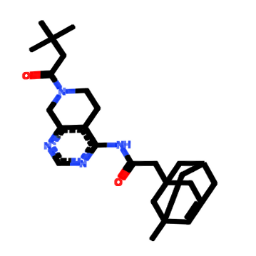 CC(C)(C)CC(=O)N1CCc2c(ncnc2NC(=O)CC23CC4=CC(C)(CC(C4)C2)C3)C1